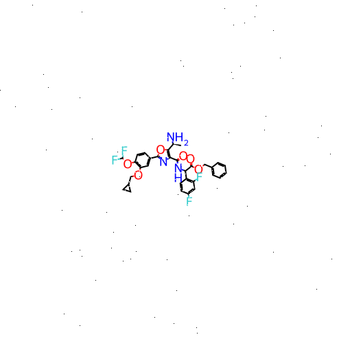 C[C@H](N)c1oc(-c2ccc(OC(F)F)c(OCC3CC3)c2)nc1C(=O)NC(C(=O)OCc1ccccc1)c1ccc(F)cc1F